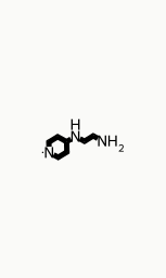 NCCNC1CC[N]CC1